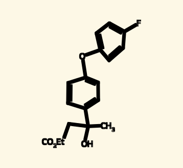 CCOC(=O)CC(C)(O)c1ccc(Oc2ccc(F)cc2)cc1